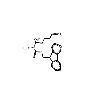 C=CCCCC(C(=O)O)N(C)C(=O)OCC1c2ccccc2-c2ccccc21